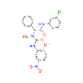 COc1ccc([N+](=O)[O-])cc1NC(=O)N(S)C(C(=O)Nc1cccc(Cl)c1)c1ccccc1